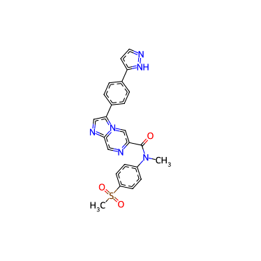 CN(C(=O)c1cn2c(-c3ccc(-c4ccn[nH]4)cc3)cnc2cn1)c1ccc(S(C)(=O)=O)cc1